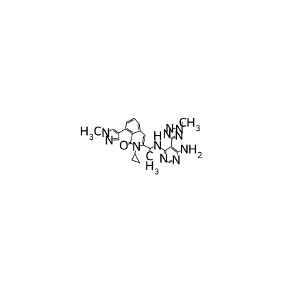 CC(Nc1ncnc(N)c1-c1nnn(C)n1)c1cc2cccc(-c3cnn(C)c3)c2c(=O)n1C1CC1